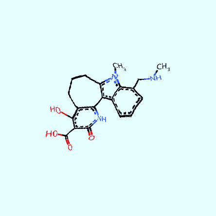 CNCc1cccc2c3c(n(C)c12)CCCc1c-3[nH]c(=O)c(C(=O)O)c1O